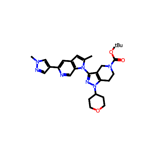 Cc1cc2cc(-c3cnn(C)c3)ncc2n1-c1nn(C2CCOCC2)c2c1CN(C(=O)OC(C)(C)C)CC2